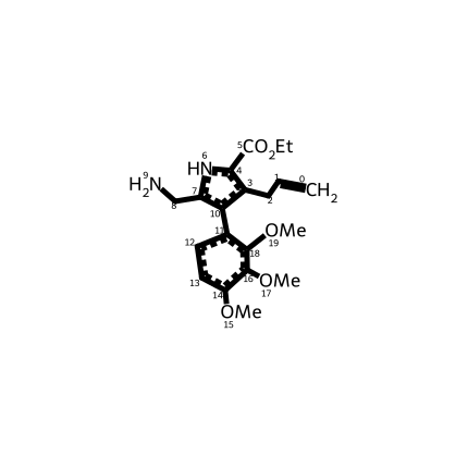 C=CCc1c(C(=O)OCC)[nH]c(CN)c1-c1ccc(OC)c(OC)c1OC